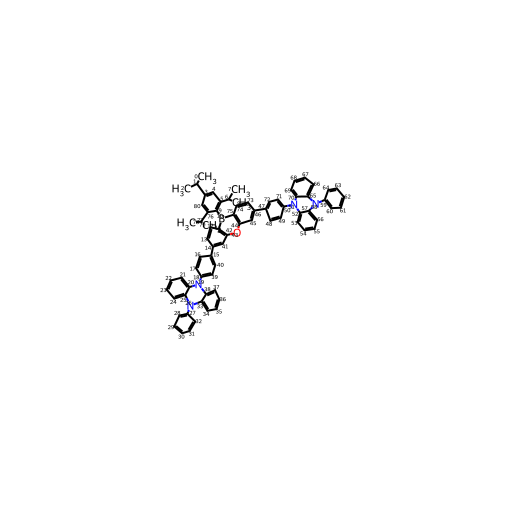 CC(C)c1cc(C(C)C)c(B2c3ccc(-c4ccc(N5c6ccccc6N(c6ccccc6)c6ccccc65)cc4)cc3Oc3cc(-c4ccc(N5c6ccccc6N(c6ccccc6)c6ccccc65)cc4)ccc32)c(C(C)C)c1